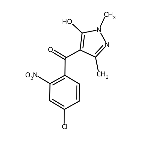 Cc1nn(C)c(O)c1C(=O)c1ccc(Cl)cc1[N+](=O)[O-]